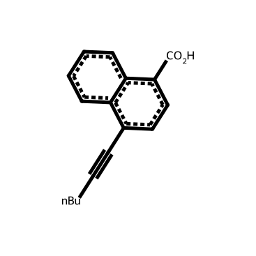 CCCCC#Cc1ccc(C(=O)O)c2ccccc12